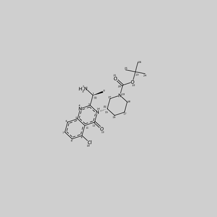 C[C@H](N)c1nc2cccc(Cl)c2c(=O)n1[C@H]1CCCN(C(=O)OC(C)(C)C)C1